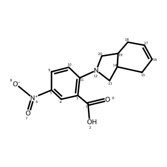 O=C(O)c1cc([N+](=O)[O-])ccc1N1CC2CC=CCC2C1